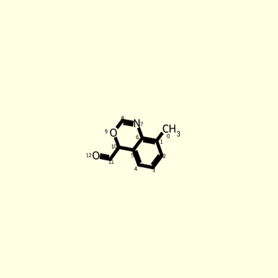 Cc1cccc2c1N=COC2C=O